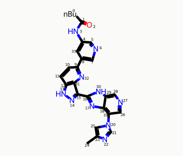 CCCCC(=O)Nc1cncc(-c2ccc3[nH]nc(-c4nc5c(-n6cnc(C)c6)cncc5[nH]4)c3n2)c1